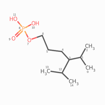 CC(C)C(CCCOP(=O)(O)O)C(C)C